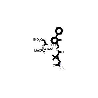 CCOC(=O)CC(SP(=S)(OC)OC)C(=O)OCC.Cc1c(COC(=O)C2C(/C=C(\Cl)C(F)(F)F)C2(C)C)cccc1-c1ccccc1